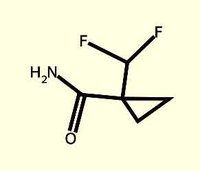 NC(=O)C1(C(F)F)CC1